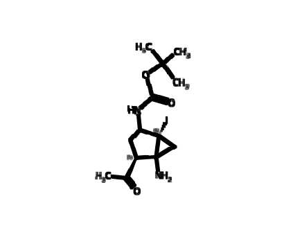 CC(=O)[C@H]1CC(NC(=O)OC(C)(C)C)[C@@]2(I)CC12N